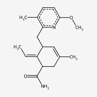 C/C=C1\C(Cc2nc(OC)ccc2C)C=C(C)CC1C(N)=O